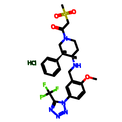 COc1ccc(-n2nnnc2C(F)(F)F)cc1CN[C@H]1CCN(C(=O)CS(C)(=O)=O)C[C@H]1c1ccccc1.Cl